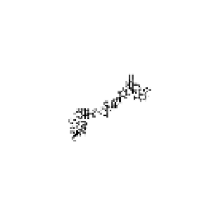 COc1cccc(F)c1-c1ncc2[nH]nc(-c3ccc(N4CCN(CC(=O)NCCCCCNc5cccc6c5C(=O)N(C5CCC(=O)NC5=O)C6=O)CC4)cc3)c2n1